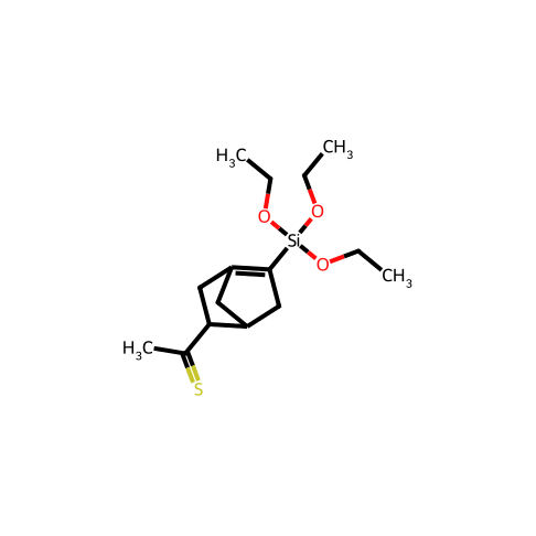 CCO[Si](OCC)(OCC)C1=C2CC(C1)C(C(C)=S)C2